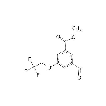 COC(=O)c1cc(C=O)cc(OCC(F)(F)F)c1